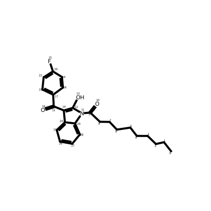 CCCCCCCCCC(=O)n1c(O)c(C(=O)c2ccc(F)cc2)c2ccccc21